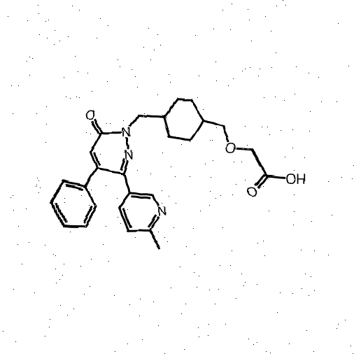 Cc1ccc(-c2nn(CC3CCC(COCC(=O)O)CC3)c(=O)cc2-c2ccccc2)cn1